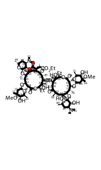 CCOC(=O)CCC(=O)O[C@H]1[C@H](O[C@@H]2[C@@H](C)[C@H](O[C@H]3C[C@@](C)(OC)[C@@H](O)[C@H](C)O3)[C@@H](C)C(=O)O[C@H](CC)[C@@](C)(O)[C@H](O)[C@@H](C)C(=O)[C@H](C)C[C@@]2(C)O)O[C@H](C)C[C@@H]1N(C)C.CC[C@H]1OC(=O)[C@H](C)[C@@H](O[C@H]2C[C@@](C)(OC)[C@@H](O)[C@H](C)O2)[C@H](C)[C@@H](O[C@@H]2O[C@H](C)C[C@H](N(C)C)[C@H]2O)[C@](C)(O)C[C@@H](C)C(=O)[C@H](C)[C@@H](O)[C@]1(C)O